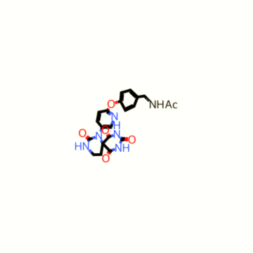 CC(=O)NCc1ccc(Oc2ccc(N3C(=O)NCCC34C(=O)NC(=O)NC4=O)cn2)cc1